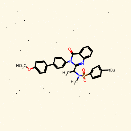 CC(c1nc2ccccc2c(=O)n1-c1ccc(-c2ccc(OC(=O)O)cc2)cc1)N(C)S(=O)(=O)c1ccc(C(C)(C)C)cc1